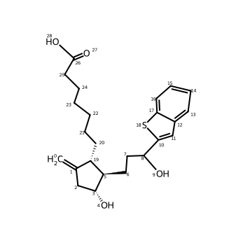 C=C1C[C@@H](O)[C@H](CCC(O)c2cc3ccccc3s2)[C@H]1CCCCCCC(=O)O